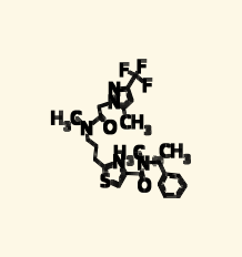 Cc1cc(C(F)(F)F)nn1CC(=O)N(C)CCCc1nc(C(=O)N(C)[C@H](C)c2ccccc2)cs1